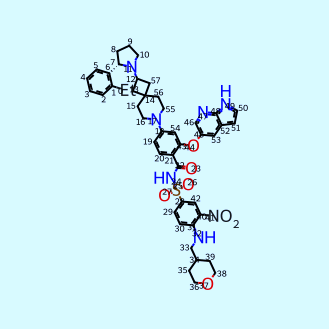 CCc1ccccc1[C@@H]1CCCN1C1CC2(CCN(c3ccc(C(=O)NS(=O)(=O)c4ccc(NCC5CCOCC5)c([N+](=O)[O-])c4)c(Oc4cnc5[nH]ccc5c4)c3)CC2)C1